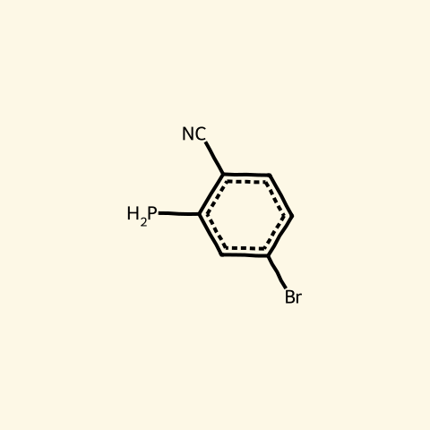 N#Cc1ccc(Br)cc1P